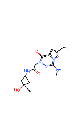 CCc1cc2c(=O)n(CC(=O)N[C@H]3C[C@@](C)(O)C3)nc(N(C)C)n2c1